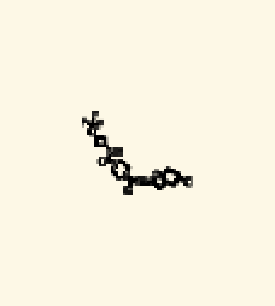 O=C(NCc1cc2cc(Cl)ccc2o1)N1CCN(C(=O)N[C@H]2C[C@@H](OC(F)(F)F)C2)CC1